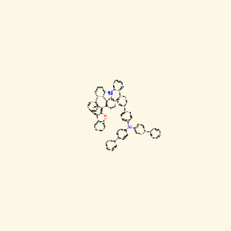 c1ccc(-c2ccc(N(c3ccc(-c4ccccc4)cc3)c3ccc(-c4ccc(-c5ccccc5-n5c6cccc(-c7ccccc7)c6c6c(-c7cccc8c7oc7ccccc78)cccc65)cc4)cc3)cc2)cc1